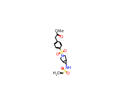 C=CS(=O)(=O)NC1C2CN(S(=O)(=O)c3ccc(CC(=O)OC)cc3)CC21